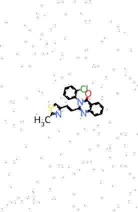 Cc1nc(C=Cc2nc3ccccc3c(=O)n2-c2ccccc2Cl)cs1